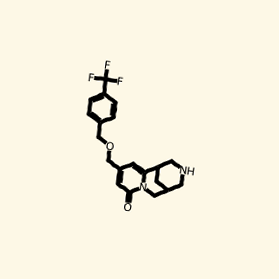 O=c1cc(COCc2ccc(C(F)(F)F)cc2)cc2n1CC1CNCC2C1